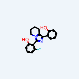 Oc1ccccc1-c1nc(-c2c(O)cccc2F)n2c1CCCC2